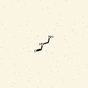 [NH]CNC=O